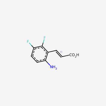 Nc1ccc(F)c(F)c1/C=C/C(=O)O